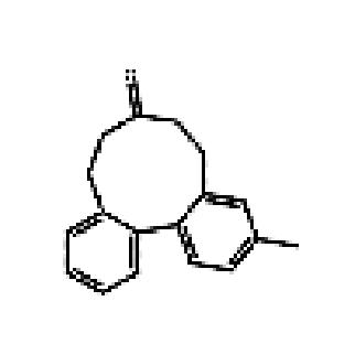 Cc1ccc2c(c1)CCC(=O)CCc1ccccc1-2